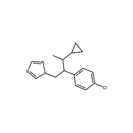 CC([C](Cn1cncn1)c1ccc(Cl)cc1)C1CC1